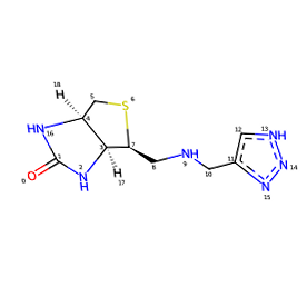 O=C1N[C@H]2[C@H](CS[C@H]2CNCc2c[nH]nn2)N1